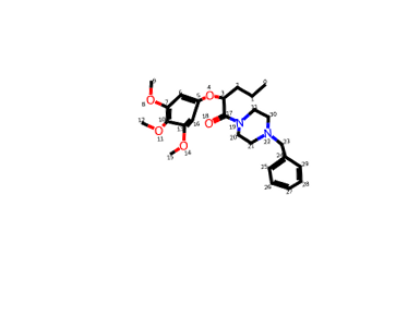 CCCC(Oc1cc(OC)c(OC)c(OC)c1)C(=O)N1CCN(Cc2ccccc2)CC1